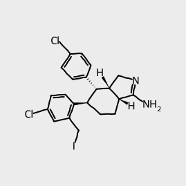 NC1=NC[C@H]2[C@@H](c3ccc(Cl)cc3)[C@H](c3ccc(Cl)cc3CI)CC[C@@H]12